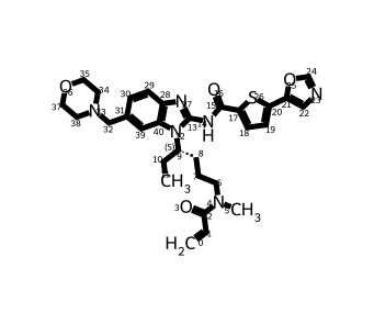 C=CC(=O)N(C)CCC[C@H](CC)n1c(NC(=O)c2ccc(-c3cnco3)s2)nc2ccc(CN3CCOCC3)cc21